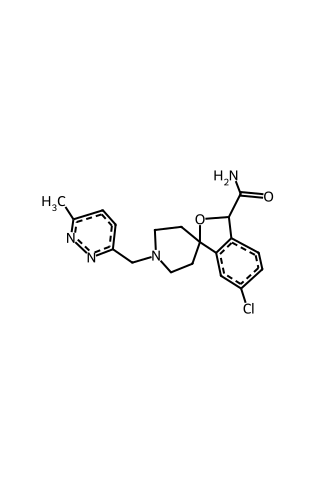 Cc1ccc(CN2CCC3(CC2)OC(C(N)=O)c2ccc(Cl)cc23)nn1